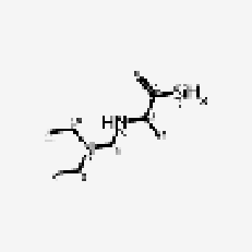 C=C([SiH3])C(C)NCN(CC)CC